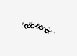 COc1cnc2c(c1)[C@H](N)C1(CCN(c3cnc4nc(Sc5ccnc(N)c5Cl)ccc4n3)CC1)C2